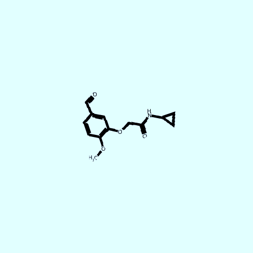 COc1ccc(C=O)cc1OCC(=O)NC1CC1